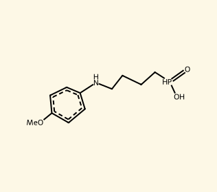 COc1ccc(NCCCC[PH](=O)O)cc1